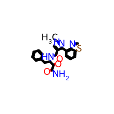 Cn1cc(C(=O)NC(Cc2ccccc2)C(=O)C(N)=O)c(-c2cccc3scnc23)n1